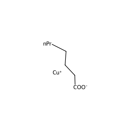 CCCCCCC(=O)[O-].[Cu+]